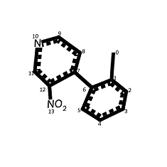 Cc1ccccc1-c1ccncc1[N+](=O)[O-]